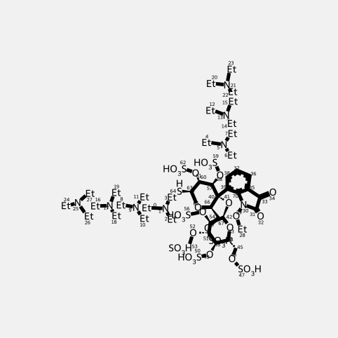 CCN(CC)CC.CCN(CC)CC.CCN(CC)CC.CCN(CC)CC.CCN(CC)CC.CCN(CC)CC.CCN(CC)CC.CCON1C(=O)C(=O)c2cccc([C@]3(O[C@H]4O[C@H](COS(=O)(=O)O)[C@@H](OS(=O)(=O)O)[C@H](OS(=O)(=O)O)[C@H]4OS(=O)(=O)O)[C@H](OS(=O)(=O)O)[C@@H](OS(=O)(=O)O)[C@H](S)O[C@@H]3COS(=O)(=O)O)c21